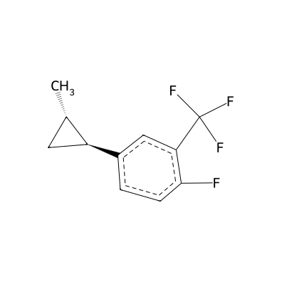 C[C@H]1C[C@@H]1c1ccc(F)c(C(F)(F)F)c1